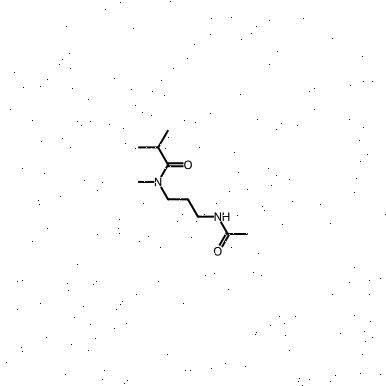 CC(=O)NCCCN(C)C(=O)C(C)C